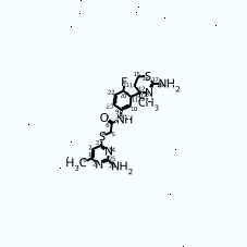 Cc1cc(SCC(=O)NC2=CC([C@]3(C)CCSC(N)=N3)C(F)C=C2)nc(N)n1